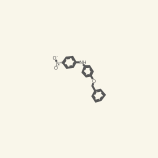 O=[N+]([O-])c1ccc(Nc2ccc(OCc3ccccc3)cc2)cc1